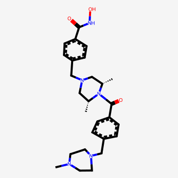 C[C@@H]1CN(Cc2ccc(C(=O)NO)cc2)C[C@H](C)N1C(=O)c1ccc(CN2CCN(C)CC2)cc1